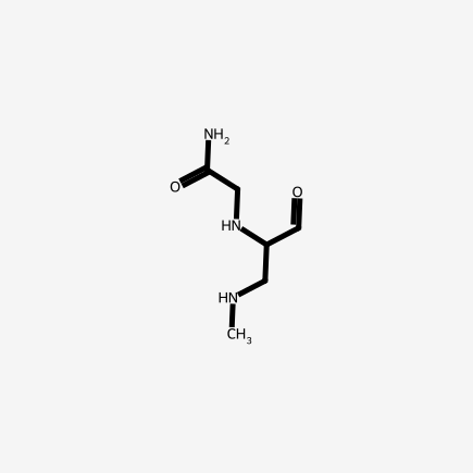 CNCC(C=O)NCC(N)=O